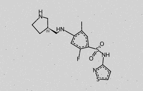 Cc1cc(S(=O)(=O)Nc2ccsn2)c(F)cc1NC[C@H]1CCNC1